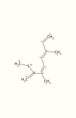 C=C/C(C)=C/C=C(/C)C(=C)SC